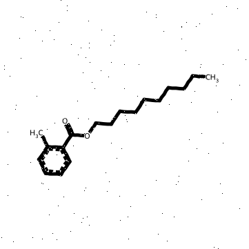 CCCCCCCCCCOC(=O)c1ccccc1C